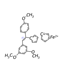 COc1ccc(/C(=C/c2cc(OC)cc(OC)c2)[c-]2cccc2)cc1.[Fe+2].c1cc[cH-]c1